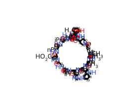 CCC[C@@H]1NC(=O)[C@H](CCC(=O)O)NC(=O)CNC(=O)[C@H](CC(C)C)NC(=O)[C@H](Cc2c[nH]cn2)NC(=O)[C@H](Cc2c[nH]c3ccccc23)NC(=O)[C@H](C)NC(=O)[C@@H](N(C)C)CCC(=O)N2CCC(C(=O)NC(C(N)=O)C(C)O)(CC2)NC(=O)[C@H](Cc2c[nH]c3ccccc23)NC(=O)C(C(C)C)NC1=O